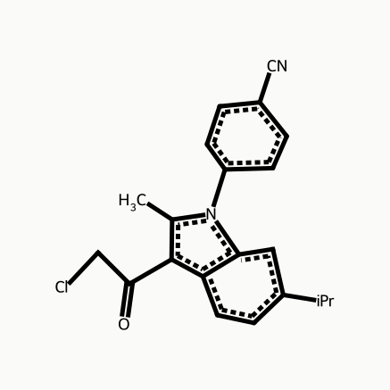 Cc1c(C(=O)CCl)c2ccc(C(C)C)cc2n1-c1ccc(C#N)cc1